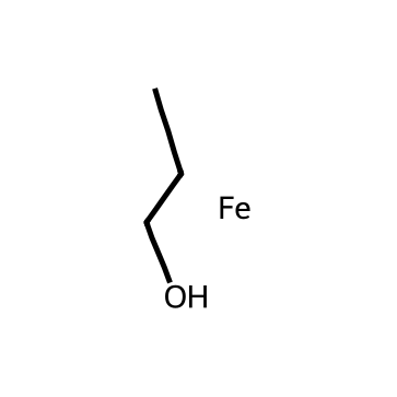 CCCO.[Fe]